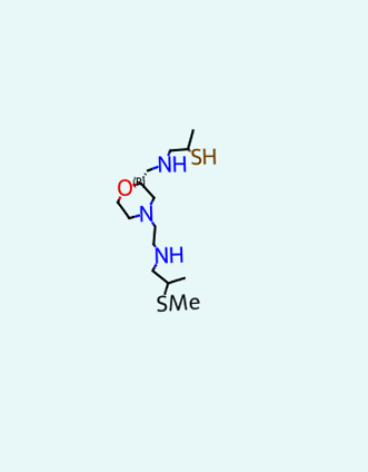 CSC(C)CNCCN1CCO[C@H](CNCC(C)S)C1